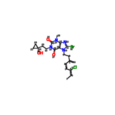 C=C(/C=C\C(Cl)=C/C)CCn1c(Br)nc2c1c(=O)n(CCC1(O)CC1)c(=O)n2C